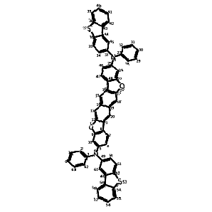 c1ccc(N(c2ccc3c(c2)oc2cc4cc5c(cc4cc23)oc2cc(N(c3ccccc3)c3ccc4sc6ccccc6c4c3)ccc25)c2ccc3sc4ccccc4c3c2)cc1